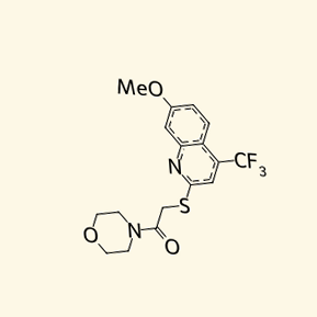 COc1ccc2c(C(F)(F)F)cc(SCC(=O)N3CCOCC3)nc2c1